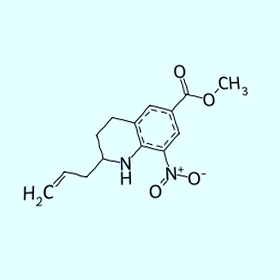 C=CCC1CCc2cc(C(=O)OC)cc([N+](=O)[O-])c2N1